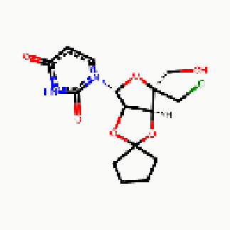 O=c1ccn([C@@H]2O[C@@](CO)(CCl)[C@H]3OC4(CCCC4)OC23)c(=O)[nH]1